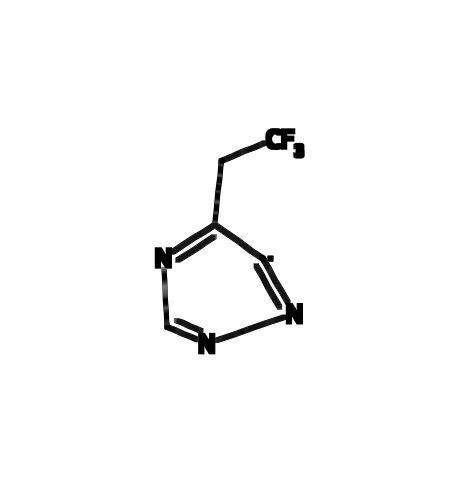 FC(F)(F)Cc1[c]nncn1